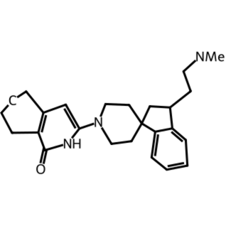 CNCCC1CC2(CCN(c3cc4c(c(=O)[nH]3)CCCC4)CC2)c2ccccc21